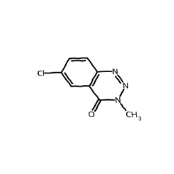 Cn1nnc2ccc(Cl)cc2c1=O